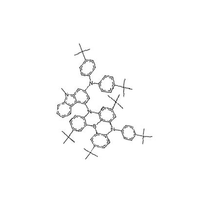 Cn1c2ccccc2c2c(N3c4ccc(C(C)(C)C)cc4B4c5cc(C(C)(C)C)ccc5N(c5ccc(C(C)(C)C)cc5)c5cc(C(C)(C)C)cc3c54)cc(N(c3ccc(C(C)(C)C)cc3)c3ccc(C(C)(C)C)cc3)cc21